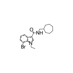 CCn1cc(C(=O)NCC2CCCCCC2)c2cccc(Br)c21